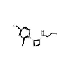 CCCN[C@@H]1CC[C@@H]1c1ccc(Cl)cc1Cl